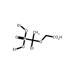 CCOP(=O)(OCC)C(C)(CC)OCC(=O)O